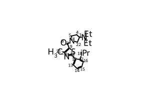 CCN(CC)C1CCN(C(=O)c2sc(-c3ccccc3C(C)C)nc2C)C1